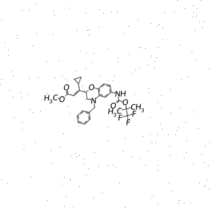 COC(=O)/C=C(\C1CC1)C1CN(Cc2ccccc2)c2cc(NC(=O)OC(C)(C)C(F)(F)F)ccc2O1